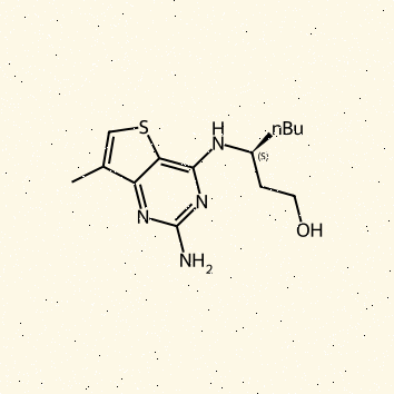 CCCC[C@@H](CCO)Nc1nc(N)nc2c(C)csc12